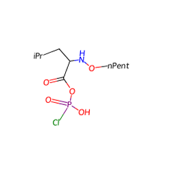 CCCCCONC(CC(C)C)C(=O)OP(=O)(O)Cl